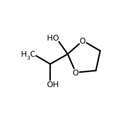 CC(O)C1(O)OCCO1